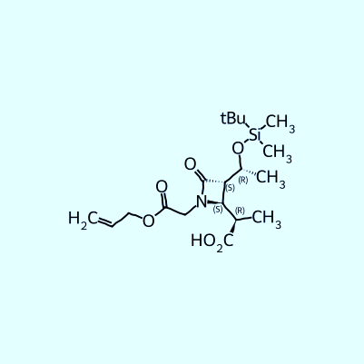 C=CCOC(=O)CN1C(=O)[C@H]([C@@H](C)O[Si](C)(C)C(C)(C)C)[C@H]1[C@@H](C)C(=O)O